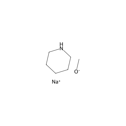 C1CCNCC1.C[O-].[Na+]